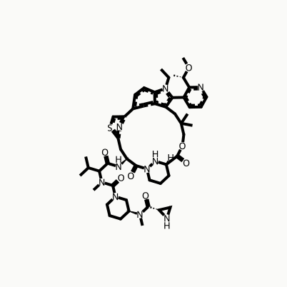 CCn1c(-c2cccnc2[C@H](C)OC)c2c3cc(ccc31)-c1csc(n1)C[C@H](NC(=O)C(C(C)C)N(C)C(=O)N1CCC[C@H](N(C)C(=O)[C@@H]3CN3)C1)C(=O)N1CCC[C@H](N1)C(=O)OCC(C)(C)C2